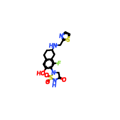 O=C1CN(c2c(O)cc3c(c2F)C[C@H](NCc2nccs2)CC3)S(=O)(=O)N1